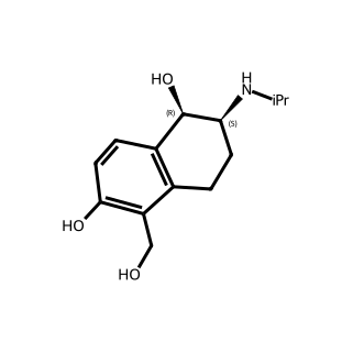 CC(C)N[C@H]1CCc2c(ccc(O)c2CO)[C@H]1O